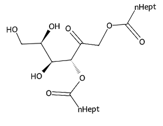 CCCCCCCC(=O)OCC(=O)[C@H](OC(=O)CCCCCCC)[C@@H](O)[C@H](O)CO